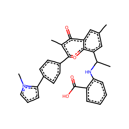 Cc1cc(C(C)Nc2ccccc2C(=O)O)c2oc(-c3ccc(-c4cccn4C)cc3)c(C)c(=O)c2c1